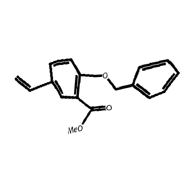 C=Cc1ccc(OCc2ccccc2)c(C(=O)OC)c1